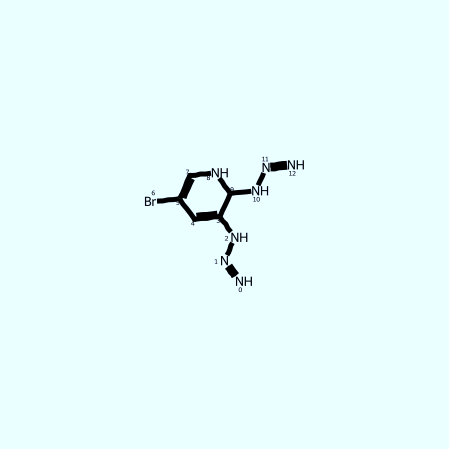 N=NNC1=CC(Br)=CNC1NN=N